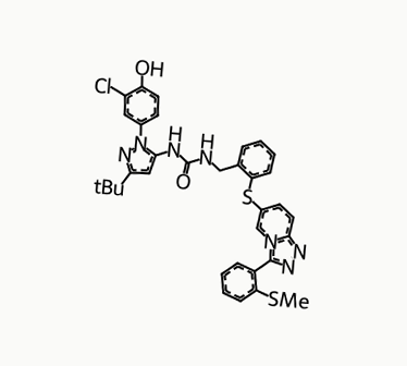 CSc1ccccc1-c1nnc2ccc(Sc3ccccc3CNC(=O)Nc3cc(C(C)(C)C)nn3-c3ccc(O)c(Cl)c3)cn12